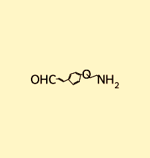 NCCOc1ccc(C=CC=O)cc1